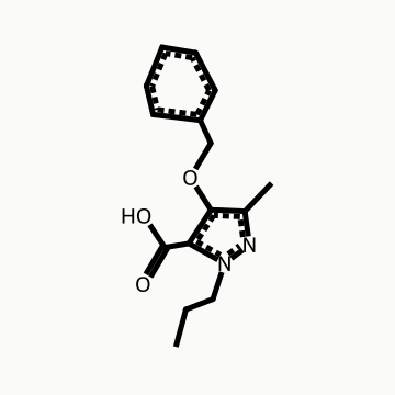 CCCn1nc(C)c(OCc2ccccc2)c1C(=O)O